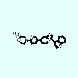 C[C@H]1CN(c2ccc(-c3ccn4c(-c5ccnc6ccccc56)cnc4c3)cn2)CCO1